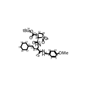 COc1ccc(CNC(=S)[C@@H](CCC2CCCCC2)NC(=O)[C@H]2N(C(=O)OC(C)(C)C)CCS2(=O)=O)cc1